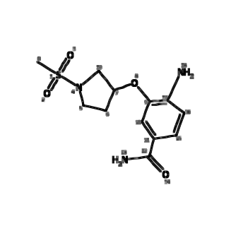 CS(=O)(=O)N1CCC(Oc2cc(C(N)=O)ccc2N)C1